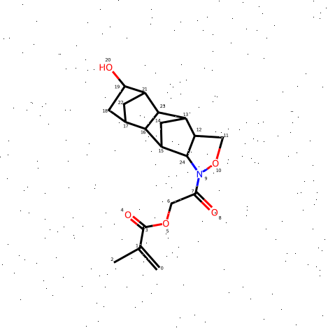 C=C(C)C(=O)OCC(=O)N1OCC2C3CC(C4C5CC(O)C(C5)C34)C21